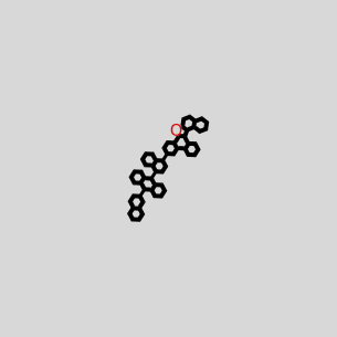 c1ccc2cc(-c3c4ccccc4c(-c4ccc(-c5ccc6c(c5)c5ccccc5c5c6oc6ccc7ccccc7c65)c5ccccc45)c4ccccc34)ccc2c1